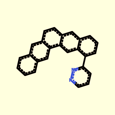 c1cnnc(-c2cccc3cc4ccc5cc6ccccc6cc5c4cc23)c1